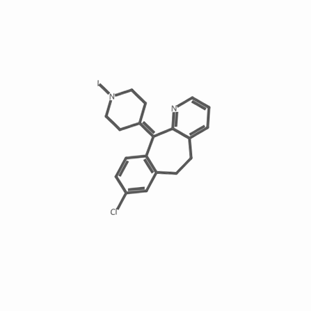 Clc1ccc2c(c1)CCc1cccnc1C2=C1CCN(I)CC1